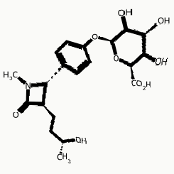 C[C@@H](O)CC[C@H]1C(=O)N(C)[C@@H]1c1ccc(O[C@@H]2O[C@H](C(=O)O)C(O)[C@H](O)C2O)cc1